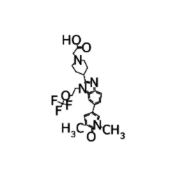 Cc1cc(-c2ccc3nc(C4CCN(CC(=O)O)CC4)n(CCOC(F)(F)F)c3c2)cn(C)c1=O